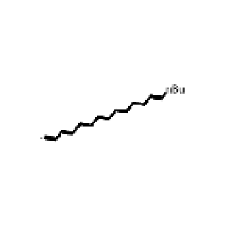 [CH]=CC=CCCCCCCCCC=CCCC[CH2]